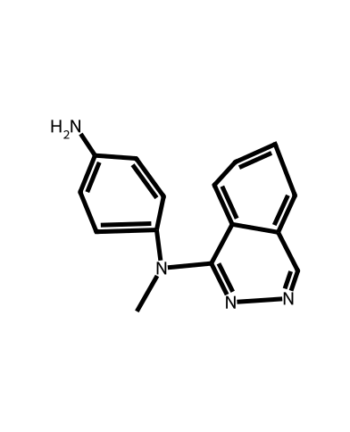 CN(c1ccc(N)cc1)c1nncc2ccccc12